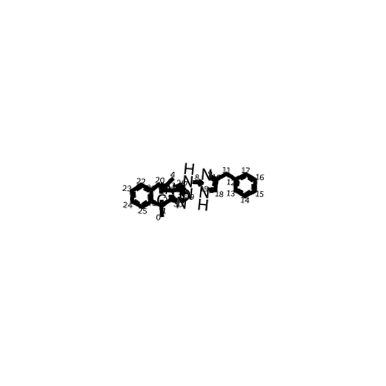 CC12CC(C)(C(=O)Nc3nc(Cc4ccccc4)c[nH]3)C(c3ccccc31)n1cnnc12